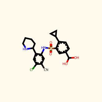 N#Cc1cc(NS(=O)(=O)c2cc(C(O)O)ccc2C2CC2)c(C2CCCCN2)cc1Cl